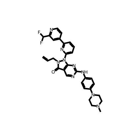 C=CCn1c(=O)c2cnc(Nc3ccc(N4CCN(C)CC4)cc3)nc2n1-c1cccc(-c2ccnc(C(F)F)c2)n1